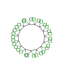 ClC1(Cl)C(Cl)(Cl)C(Cl)(Cl)C(Cl)(Cl)C(Cl)(Cl)C(Cl)(Cl)C(Cl)(Cl)C(Cl)(Cl)C(Cl)(Cl)C(Cl)(Cl)C(Cl)(Cl)C(Cl)(Cl)C(Cl)(Cl)C(Cl)(Cl)C1(Cl)Cl